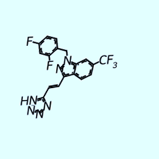 Fc1ccc(Cn2nc(C=Cc3nnn[nH]3)c3ccc(C(F)(F)F)cc32)c(F)c1